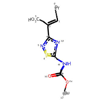 CC(C)/C=C(\C(=O)O)c1nsc(NC(=O)OC(C)(C)C)n1